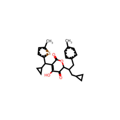 Cc1ccc(CC(CC2CC2)C2OC(=O)C(C(c3ccc(C)s3)C3CC3)=C(O)C2=O)cc1